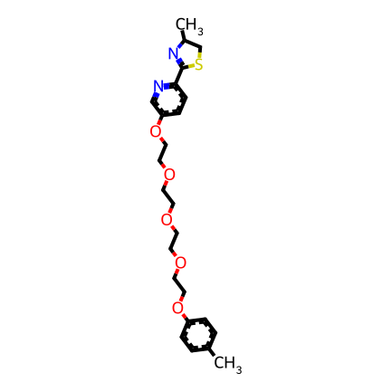 Cc1ccc(OCCOCCOCCOCCOc2ccc(C3=NC(C)CS3)nc2)cc1